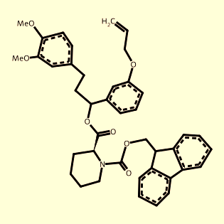 C=CCOc1cccc(C(CCc2ccc(OC)c(OC)c2)OC(=O)[C@@H]2CCCCN2C(=O)OCC2c3ccccc3-c3ccccc32)c1